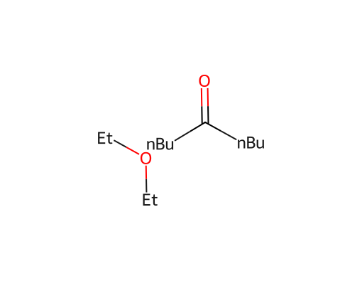 CCCCC(=O)CCCC.CCOCC